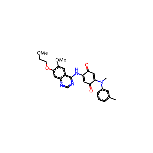 COCCOc1cc2ncnc(NC3=CC(=O)C(N(C)c4cccc(C)c4)=CC3=O)c2cc1OC